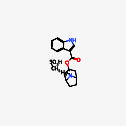 CN1C2CCC1CC(OC(=O)c1c[nH]c3ccccc13)C2.CS(=O)(=O)O